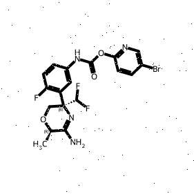 C[C@H]1OC[C@](c2cc(NC(=O)Oc3ccc(Br)cn3)ccc2F)(C(F)F)N=C1N